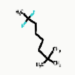 CC(C)(C)CCCCC(C)(F)F